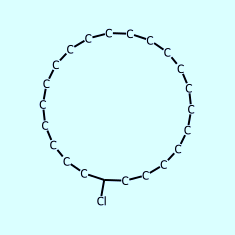 ClC1CCCCCCCCCCCCCCCCCCCCC1